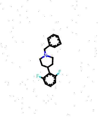 Fc1cccc(F)c1C1CCN(Cc2ccccc2)CC1